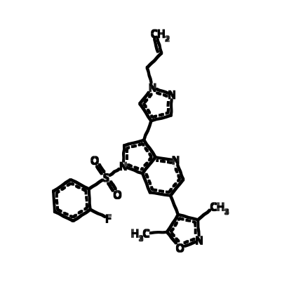 C=CCn1cc(-c2cn(S(=O)(=O)c3ccccc3F)c3cc(-c4c(C)noc4C)cnc23)cn1